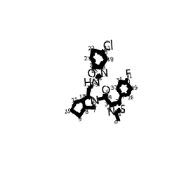 Cc1nc(C(=O)N2CC3CCCC3C2CNc2nc3cc(Cl)ccc3o2)c(-c2ccc(F)cc2)s1